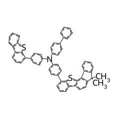 CC1(C)c2ccccc2-c2c1ccc1c2sc2c(-c3ccc(N(c4ccc(-c5ccccc5)cc4)c4ccc(-c5cccc6c5sc5ccccc56)cc4)cc3)cccc21